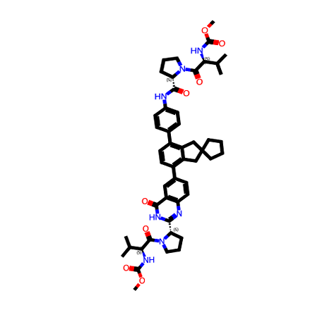 COC(=O)N[C@H](C(=O)N1CCC[C@H]1C(=O)Nc1ccc(-c2ccc(-c3ccc4nc([C@@H]5CCCN5C(=O)[C@@H](NC(=O)OC)C(C)C)[nH]c(=O)c4c3)c3c2CC2(CCCC2)C3)cc1)C(C)C